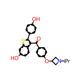 CC(C)N1CC(Oc2ccc(C(=O)c3c(-c4ccc(O)cc4)sc4cc(O)ccc34)cc2)C1